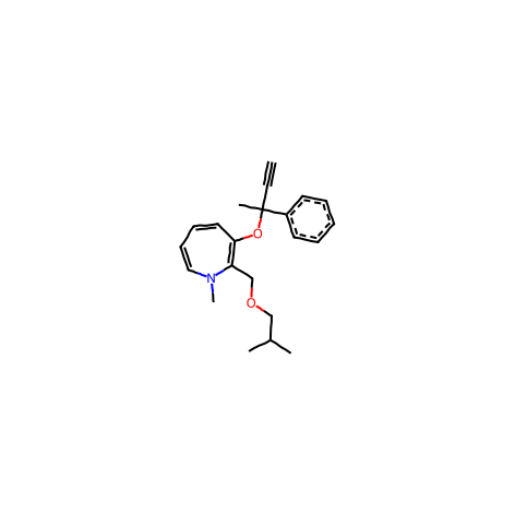 C#CC(C)(OC1=C(COCC(C)C)N(C)C=CC=C1)c1ccccc1